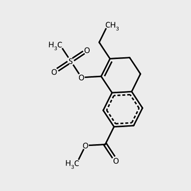 CCC1=C(OS(C)(=O)=O)c2cc(C(=O)OC)ccc2CC1